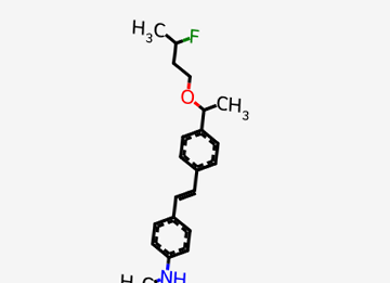 CNc1ccc(/C=C/c2ccc(C(C)OCCC(C)F)cc2)cc1